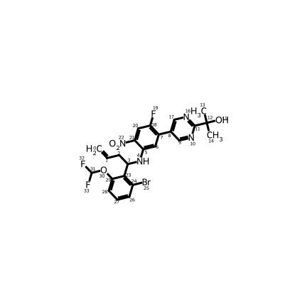 C=CCC(Nc1cc(-c2cnc(C(C)(C)O)nc2)c(F)cc1[N+](=O)[O-])c1c(Br)cccc1OC(F)F